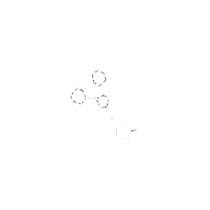 O=C1CCC[C@H](CSc2nc(-c3ccccc3)c(-c3ccccc3)[nH]2)N1